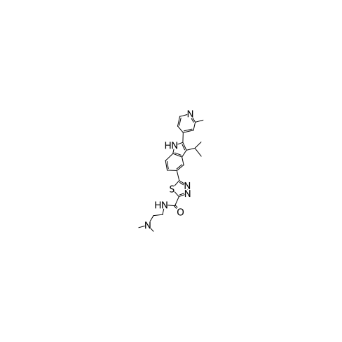 Cc1cc(-c2[nH]c3ccc(-c4nnc(C(=O)NCCN(C)C)s4)cc3c2C(C)C)ccn1